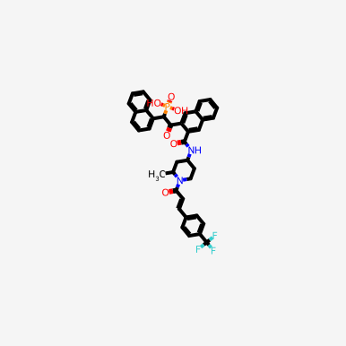 CC1CC(NC(=O)c2cc3ccccc3cc2C(=O)C(c2cccc3ccccc23)P(=O)(O)O)CCN1C(=O)/C=C/c1ccc(C(F)(F)F)cc1